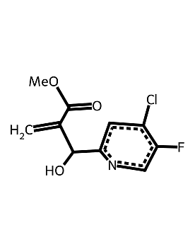 C=C(C(=O)OC)C(O)c1cc(Cl)c(F)cn1